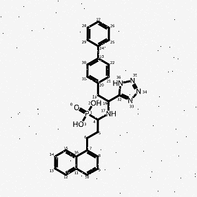 O=P(O)(O)C(CCc1cccc2ccccc12)NC(Cc1ccc(-c2ccccc2)cc1)c1nnn[nH]1